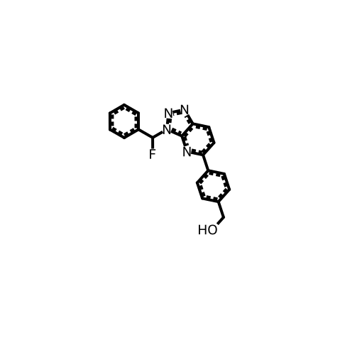 OCc1ccc(-c2ccc3nnn(C(F)c4ccccc4)c3n2)cc1